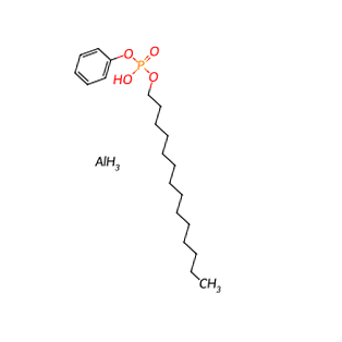 CCCCCCCCCCCCCCOP(=O)(O)Oc1ccccc1.[AlH3]